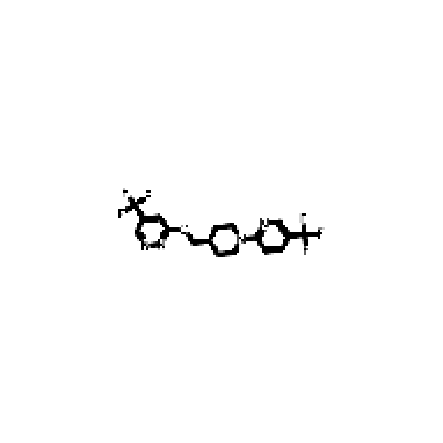 FC(F)(F)c1ccc(N2CCC(COc3cc(C(F)(F)F)cnn3)CC2)nc1